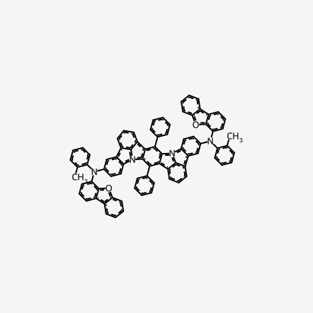 Cc1ccccc1N(c1ccc2c(c1)c1cccc3c4c(-c5ccccc5)c5c(c(-c6ccccc6)c4n2c13)c1cccc2c3cc(N(c4ccccc4C)c4cccc6c4oc4ccccc46)ccc3n5c21)c1cccc2c1oc1ccccc12